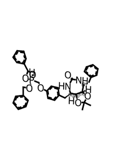 CC1(C)O[C@@H]2[C@@H](O1)[C@@H](Cc1ccc(OC[PH]3(OCc4ccccc4)OC(c4ccccc4)O3)cc1)NC(=O)N[C@@H]2Cc1ccccc1